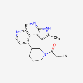 Cc1cc2c(ncc3nccc(C4CCCN(C(=O)CC#N)C4)c32)[nH]1